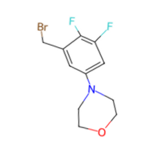 Fc1cc(N2CCOCC2)cc(CBr)c1F